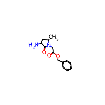 CC1CC(N)C(=O)N1CC(=O)OCc1ccccc1